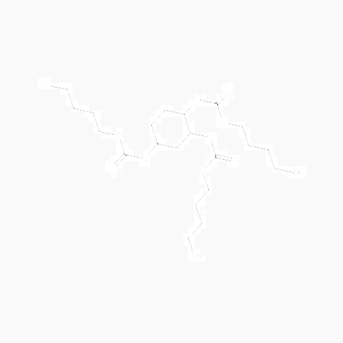 CC(C)CCCCOC(=O)OC1CCC(OC(=O)OCCCCC(C)C)C(OC(=O)OCCCCC(C)C)C1